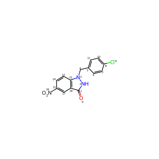 O=c1[nH]n(Cc2ccc(Cl)cc2)c2ccc([N+](=O)[O-])cc12